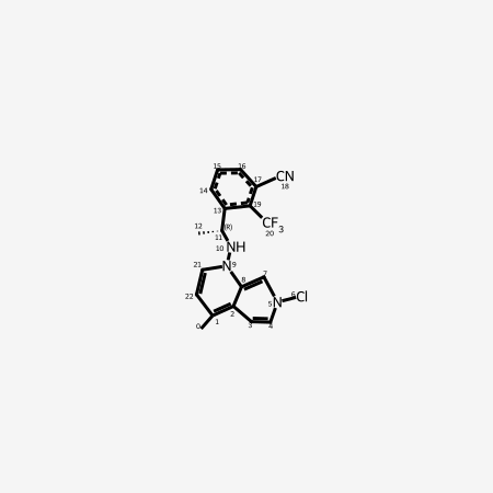 CC1=C2C=CN(Cl)C=C2N(N[C@H](C)c2cccc(C#N)c2C(F)(F)F)C=C1